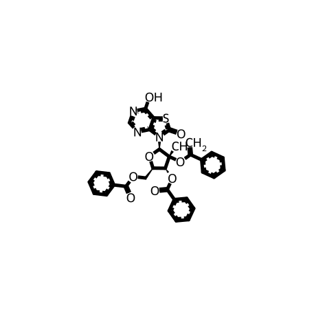 C=C(O[C@]1(C)[C@H](OC(=O)c2ccccc2)[C@@H](COC(=O)c2ccccc2)O[C@H]1n1c(=O)sc2c(O)ncnc21)c1ccccc1